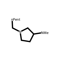 CCCCCCN1CCC(NC)C1